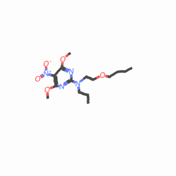 CCCCOCCN(CCC)c1nc(OC)c([N+](=O)[O-])c(OC)n1